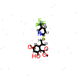 COC(=O)C1C(O)=CC(=O)CC1C(C)CSc1ccc(C(F)(F)F)cn1